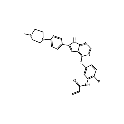 C=CC(=O)Nc1cc(Oc2ncnc3[nH]c(-c4ccc(N5CCN(C)CC5)cc4)cc23)ccc1F